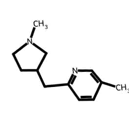 Cc1ccc(CC2CCN(C)C2)nc1